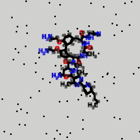 CCCCc1ccc(-c2nc(C)c(C(=O)NC(CCN)C(=O)N(C)C3C(=O)NC(C)C(=O)NC(C(=O)NCC#N)Cc4ccc(OCCN)c(c4)-c4cc3ccc4OCCN)c(C)n2)nc1